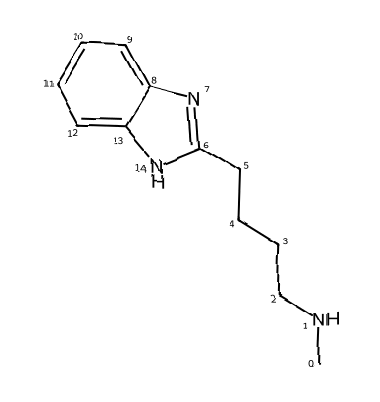 CNCCCCc1nc2ccccc2[nH]1